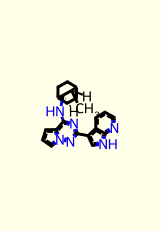 C[C@H]1C2CCC(CC2)[C@@H]1Nc1nc(-c2c[nH]c3ncccc23)nn2cccc12